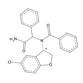 NC(=O)C(c1ccccc1)N(C(=O)c1ccccc1)[C@@H]1COc2ccc(Cl)cc21